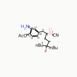 CCCCC(I)(CCCC)CCC(BC#N)Cc1ccc(OC(C)=O)c(N)c1